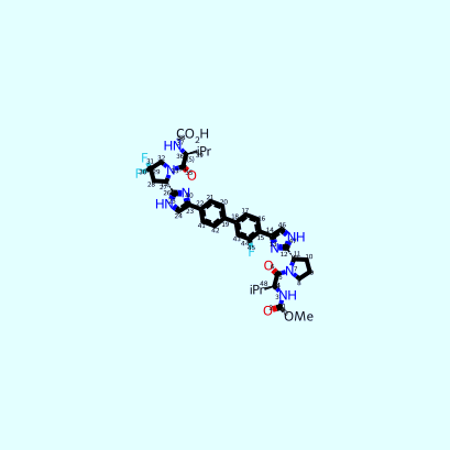 COC(=O)N[C@H](C(=O)N1CCC[C@H]1c1nc(-c2ccc(-c3ccc(-c4c[nH]c([C@@H]5CC(F)(F)CN5C(=O)[C@@H](NC(=O)O)C(C)C)n4)cc3)cc2F)c[nH]1)C(C)C